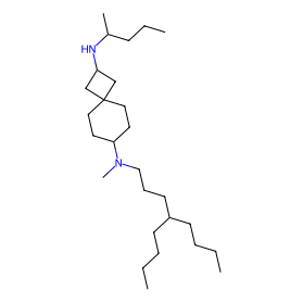 CCCCC(CCCC)CCCN(C)C1CCC2(CC1)CC(NC(C)CCC)C2